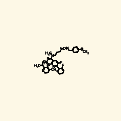 COc1ccc(CN=C=NCCCN(C)c2nc(=O)n(-c3c(C)ccnc3C(C)C)c3nc(-c4ccccc4F)c(F)cc23)cc1